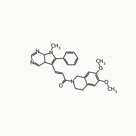 COc1cc2c(cc1OC)CN(C(=O)/C=C/C1=C(c3ccccc3)N(C)C3N=CN=CC13)CC2